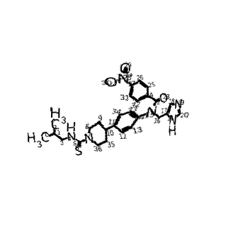 CC(C)CNC(=S)N1CCC(c2ccc(N(Cc3cnc[nH]3)C(=O)c3ccc([N+](=O)[O-])cc3)cc2)CC1